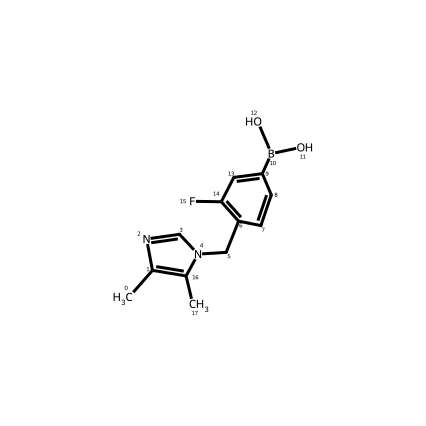 Cc1ncn(Cc2ccc(B(O)O)cc2F)c1C